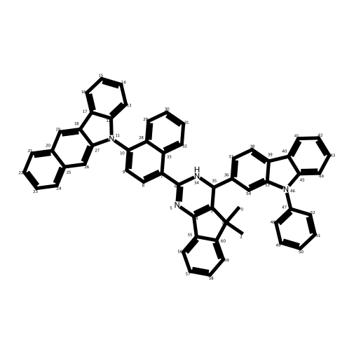 CC1(C)C2=C(N=C(c3ccc(-n4c5ccccc5c5cc6ccccc6cc54)c4ccccc34)NC2c2ccc3c4ccccc4n(-c4ccccc4)c3c2)c2ccccc21